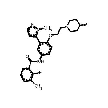 Cc1cccc(C(=O)Nc2ccc(OCCN3CCC(F)CC3)c(-c3ccnn3C)c2)c1F